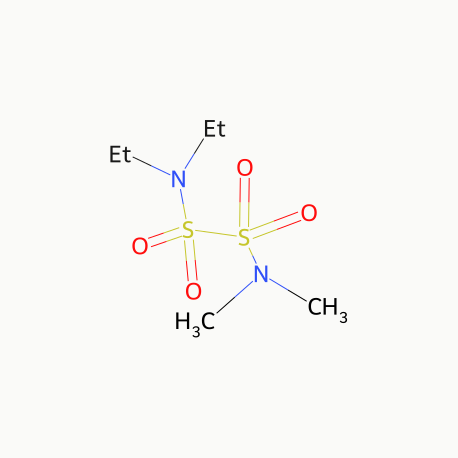 CCN(CC)S(=O)(=O)S(=O)(=O)N(C)C